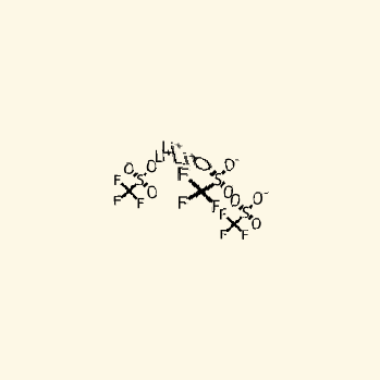 O=S(=O)([O-])C(F)(F)F.O=S(=O)([O-])C(F)(F)F.O=S(=O)([O-])C(F)(F)F.[Li+].[Li+].[Li+]